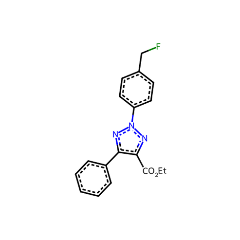 CCOC(=O)c1nn(-c2ccc(CF)cc2)nc1-c1ccccc1